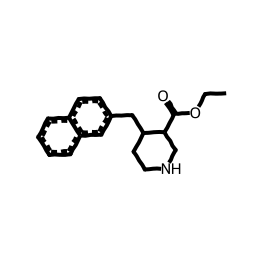 CCOC(=O)C1CNCCC1Cc1ccc2ccccc2c1